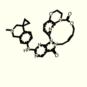 CN1Cc2cc(Nc3ncc4c(=O)n5n(c4n3)-c3ccc4c(n3)N(CCO4)C(=O)OC/C=C\C5)ccc2C2(CC2)C1